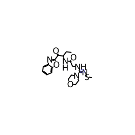 CCC(NC(=O)CN/C(=N/SC)N1CCOCC1)C(=O)c1nc2ccccc2o1